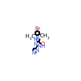 Cc1cc(Br)cc(C)c1-n1cc2c(=O)[nH]c(-c3ccncn3)nc2n1